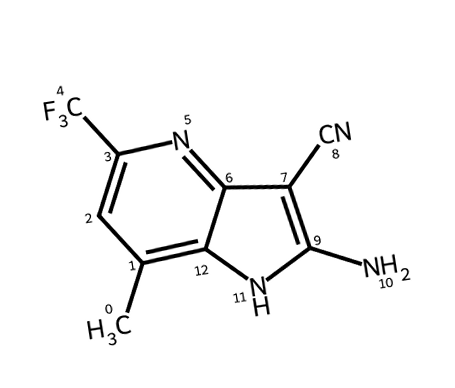 Cc1cc(C(F)(F)F)nc2c(C#N)c(N)[nH]c12